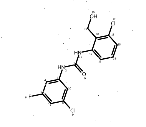 O=C(Nc1cc(F)cc(Cl)c1)Nc1cccc(Cl)c1CO